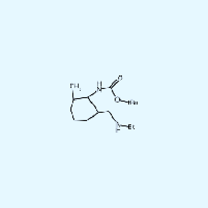 CCNCC1CCCC(C)C1NC(=O)OC(C)(C)C